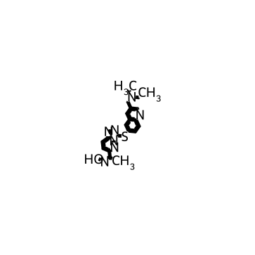 CCN(CC)Cc1cnc2ccc(Sc3nnc4ccc(/C(C)=N\O)nn34)cc2c1